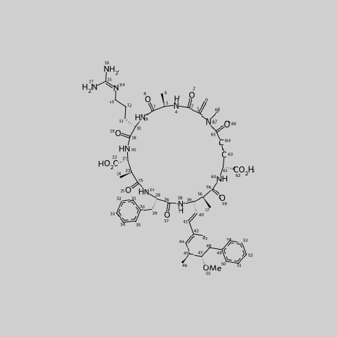 C=C1C(=O)N[C@H](C)C(=O)N[C@@H](CCCN=C(N)N)C(=O)N[C@@H](C(=O)O)[C@H](C)C(=O)N[C@@H](Cc2ccccc2)C(=O)N[C@@H](/C=C/C(C)=C/[C@H](C)[C@H](Cc2ccccc2)OC)[C@H](C)C(=O)N[C@@H](C(=O)O)CCC(=O)N1C